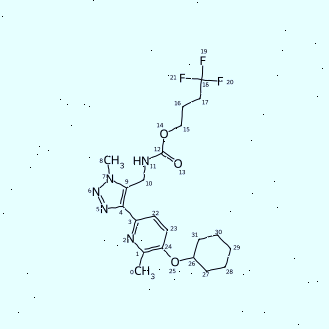 Cc1nc(-c2nnn(C)c2CNC(=O)OCCCC(F)(F)F)ccc1OC1CCCCC1